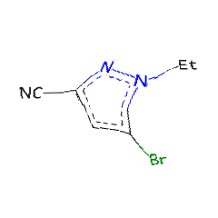 CCn1nc(C#N)cc1Br